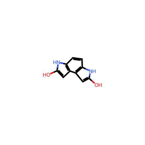 Oc1cc2c(ccc3[nH]c(O)cc32)[nH]1